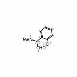 CN[C@H](C=O)c1ccccc1.Cl